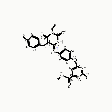 CCn1c(=O)[nH]/c(=N\c2ccc(Oc3cc(C(=O)OC)nc(Cl)n3)cc2)n(Cc2ccc(C)cc2)c1=O